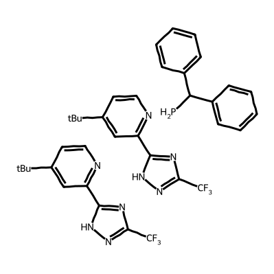 CC(C)(C)c1ccnc(-c2nc(C(F)(F)F)n[nH]2)c1.CC(C)(C)c1ccnc(-c2nc(C(F)(F)F)n[nH]2)c1.PC(c1ccccc1)c1ccccc1